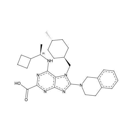 C[C@@H](Nc1nc(C(=O)O)nc2nc(N3CCc4ccccc4C3)n(C[C@H]3CC[C@H](C)CC3)c12)C1CCC1